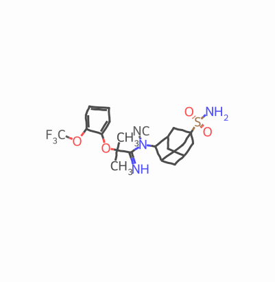 CC(C)(Oc1ccccc1OC(F)(F)F)C(=N)N(C#N)C1C2CC3CC1CC(S(N)(=O)=O)(C3)C2